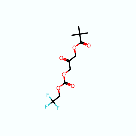 CC(C)(C)C(=O)OCC(=O)COC(=O)OCC(F)(F)F